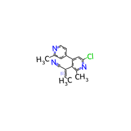 C/C=C(/C#N)c1c(-c2ccnc(C)c2)cc(Cl)nc1C